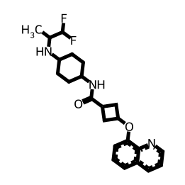 CC(NC1CCC(NC(=O)C2CC(Oc3cccc4cccnc34)C2)CC1)C(F)F